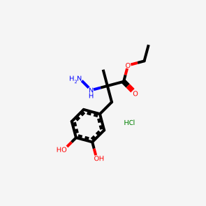 CCOC(=O)C(C)(Cc1ccc(O)c(O)c1)NN.Cl